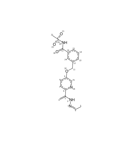 C=C(N/N=C\C)c1ccc(OCc2cccc(C(=O)NS(C)(=O)=O)c2)cn1